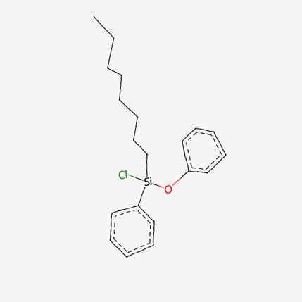 CCCCCCCC[Si](Cl)(Oc1ccccc1)c1ccccc1